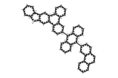 c1ccc2c(c1)ccc1ccc(-c3c4ccccc4c(-c4ccc5c(c4)c4ccccc4c4cc6c(cc54)sc4ccccc46)c4ccccc34)cc12